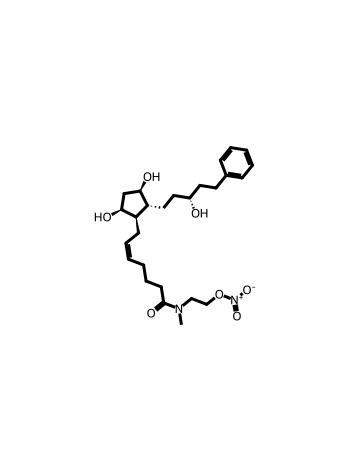 CN(CCO[N+](=O)[O-])C(=O)CCC/C=C\C[C@@H]1[C@@H](CC[C@@H](O)CCc2ccccc2)[C@H](O)C[C@@H]1O